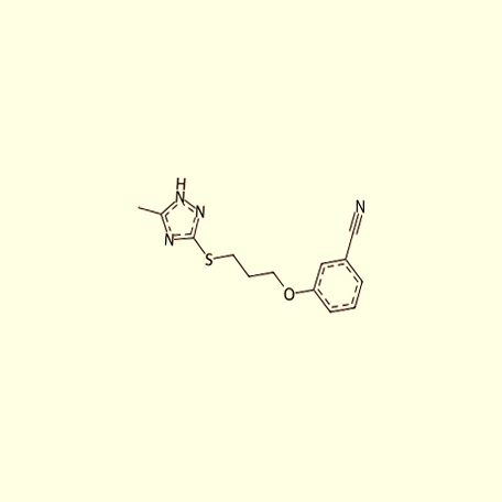 Cc1nc(SCCCOc2cccc(C#N)c2)n[nH]1